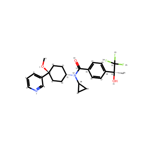 CO[C@]1(c2cccnc2)CC[C@@H](N(C(=O)c2ccc([C@](C)(O)C(F)(F)F)cc2)C2CC2)CC1